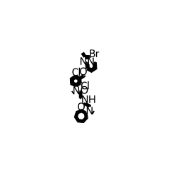 Cc1nc2c(OCc3c(Cl)ccc(N(C)C(=O)CNC(=O)CN(C)C4CCCCCC4)c3Cl)cccn2c1Br